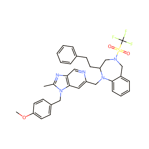 COc1ccc(Cn2c(C)nc3cnc(CN4c5ccccc5CN(S(=O)(=O)C(F)(F)F)CC4CCc4ccccc4)cc32)cc1